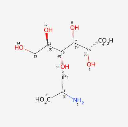 CC(C)[C@H](N)C(=O)O.O=C(O)[C@H](O)[C@@H](O)[C@H](O)[C@H](O)CO